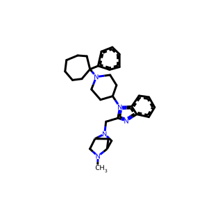 CN1CC2CC1CN2Cc1nc2ccccc2n1C1CCN(C2(c3ccccc3)CCCCCC2)CC1